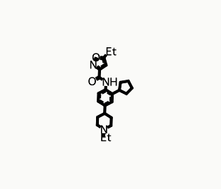 CCc1cc(C(=O)Nc2ccc(C3CCN(CC)CC3)cc2C2CCCC2)no1